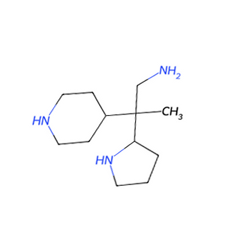 CC(CN)(C1CCNCC1)C1CCCN1